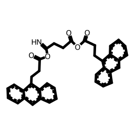 N=C(CCC(=O)OC(=O)CCc1c2ccccc2cc2ccccc12)OC(=O)CCc1c2ccccc2cc2ccccc12